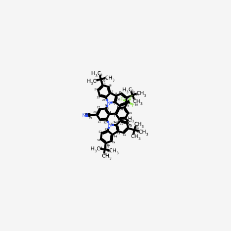 Cc1cc(-c2c(-n3c4ccc(C(C)(C)C)cc4c4cc(C(C)(C)C)ccc43)cc(C#N)cc2-n2c3ccc(C(C)(C)C)cc3c3cc(C(C)(C)C)ccc32)cc(C(F)(F)F)c1